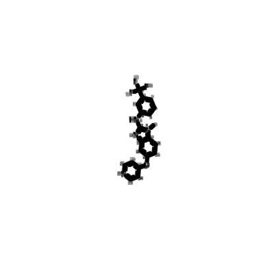 Cn1c(Nc2cccc(C(F)(F)F)c2)nc2cc(Oc3ccncc3)ccc21